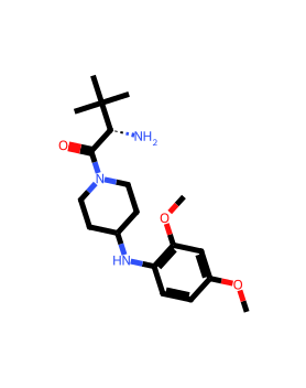 COc1ccc(NC2CCN(C(=O)[C@@H](N)C(C)(C)C)CC2)c(OC)c1